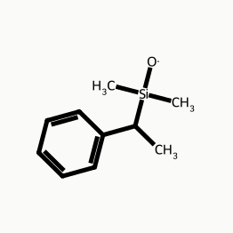 CC(c1ccccc1)[Si](C)(C)[O]